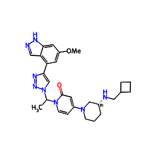 COc1cc(-c2cn(C(C)n3ccc(N4CCC[C@@H](NCC5CCC5)C4)cc3=O)nn2)c2cn[nH]c2c1